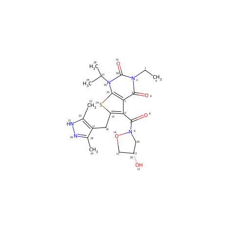 CCn1c(=O)c2c(C(=O)N3C[C@H](O)CO3)c(Cc3c(C)n[nH]c3C)sc2n(C(C)C)c1=O